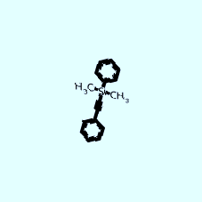 C[Si](C)(C#Cc1ccccc1)c1ccccc1